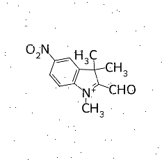 C[N+]1=C(C=O)C(C)(C)c2cc([N+](=O)[O-])ccc21